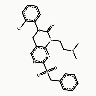 CN(C)CCN1C(=O)N(c2ccccc2Cl)Cc2cnc(S(=O)(=O)Cc3ccccc3)nc21